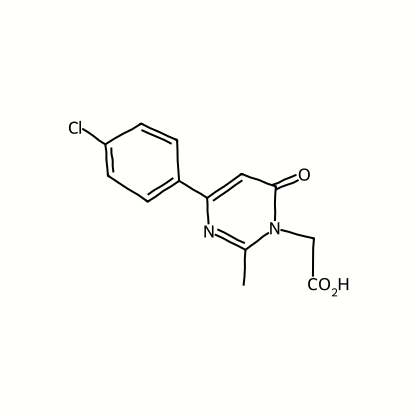 Cc1nc(-c2ccc(Cl)cc2)cc(=O)n1CC(=O)O